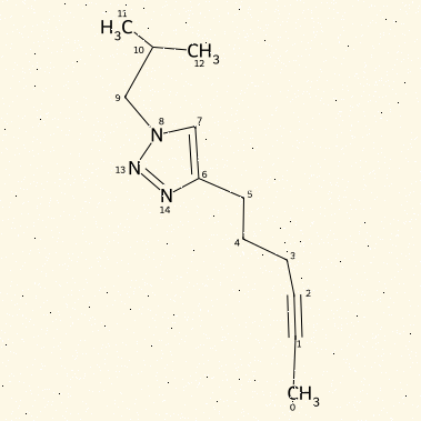 CC#CCCCc1cn(CC(C)C)nn1